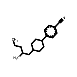 CCCC(C)CC1CCC(c2ccc(C#N)cc2)CC1